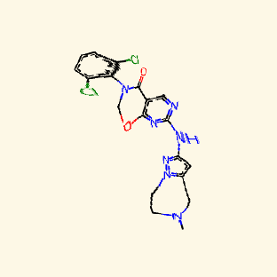 CN1CCn2nc(Nc3ncc4c(n3)OCN(c3c(Cl)cccc3Cl)C4=O)cc2C1